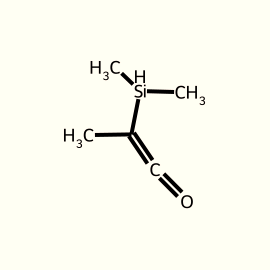 CC(=C=O)[SiH](C)C